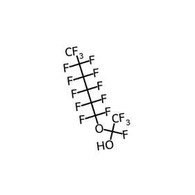 OC(F)(OC(F)(F)C(F)(F)C(F)(F)C(F)(F)C(F)(F)C(F)(F)F)C(F)(F)F